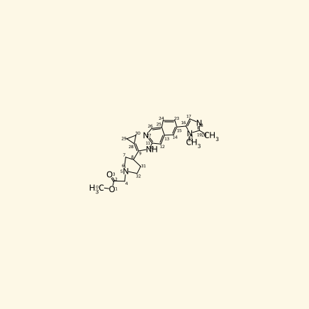 COC(=O)CN1CCC(C(Nc2cc3cc(-c4cnc(C)n4C)ccc3cn2)=C2CC2)CC1